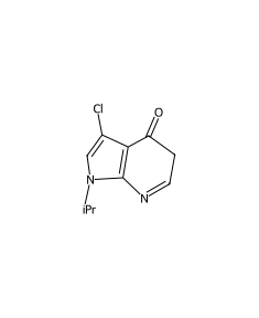 CC(C)n1cc(Cl)c2c1N=CCC2=O